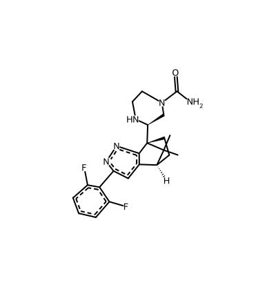 CC1(C)[C@H]2CC[C@]1([C@@H]1CN(C(N)=O)CCN1)c1nnc(-c3c(F)cccc3F)cc12